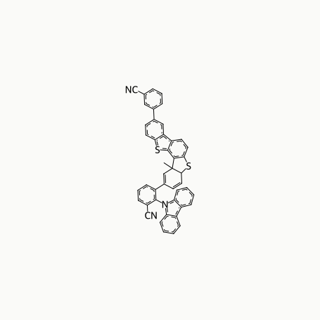 CC12C=C(c3cccc(C#N)c3-n3c4ccccc4c4ccccc43)C=CC1Sc1ccc3c(sc4ccc(-c5cccc(C#N)c5)cc43)c12